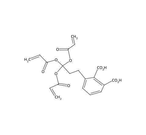 C=CC(=O)OC(CCc1cccc(C(=O)O)c1C(=O)O)(OC(=O)C=C)OC(=O)C=C